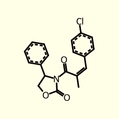 CC(=Cc1ccc(Cl)cc1)C(=O)N1C(=O)OCC1c1ccccc1